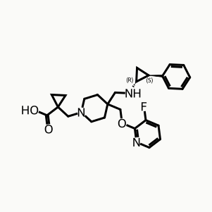 O=C(O)C1(CN2CCC(CN[C@@H]3C[C@H]3c3ccccc3)(COc3ncccc3F)CC2)CC1